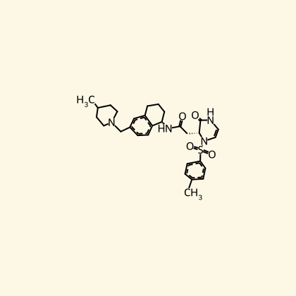 Cc1ccc(S(=O)(=O)N2C=CNC(=O)[C@H]2CC(=O)N[C@@H]2CCCc3cc(CN4CCC(C)CC4)ccc32)cc1